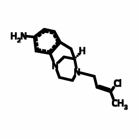 CC(Cl)=CCN1CCN2C[C@H]1Cc1ccc(N)cc12